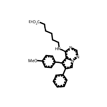 CCOC(=O)CCCCCNc1ncnn2cc(-c3ccccc3)c(-c3ccc(OC)cc3)c12